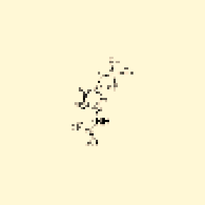 O=C(Cl)Nc1cc(CC(F)(F)F)cs1